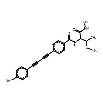 CC(OC(C)(C)C)C(NC(=O)c1ccc(C#CC#Cc2ccc(C=O)cc2)cc1)C(=O)NO